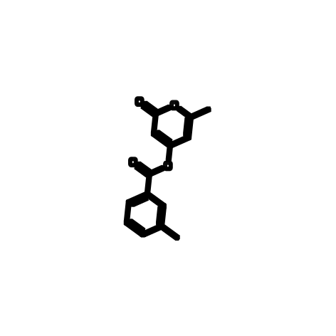 Cc1cccc(C(=O)Oc2cc(C)oc(=O)c2)c1